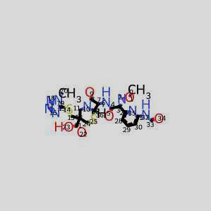 CON=C(C(=O)NC1C(=O)N2CC(CSc3nnnn3C)(C(=O)O)CS[C@H]12)c1cccc(NC=O)n1